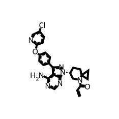 C=CC(=O)N1C[C@H](n2nc(-c3ccc(Oc4ccc(Cl)cn4)cc3)c3c(N)ncnc32)CCC12CC2